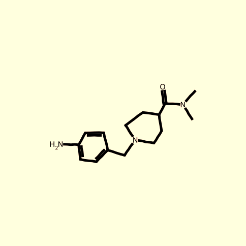 CN(C)C(=O)C1CCN(Cc2ccc(N)cc2)CC1